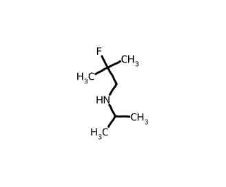 CC(C)NCC(C)(C)F